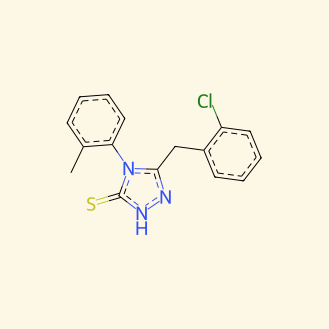 Cc1ccccc1-n1c(Cc2ccccc2Cl)n[nH]c1=S